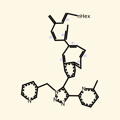 C=C(\C=C/C(=C\C)C1=C/C=C/C=c2\ccc(-c3c(-c4cccc(C)n4)nnn3Cc3cccnc3)c\c2=C\1)/C=C/CCCCCC